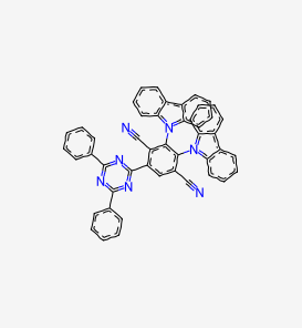 N#Cc1cc(-c2nc(-c3ccccc3)nc(-c3ccccc3)n2)c(C#N)c(-n2c3ccccc3c3ccccc32)c1-n1c2ccccc2c2ccccc21